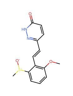 COc1cccc([S+](C)[O-])c1C=Cc1ccc(=O)[nH]n1